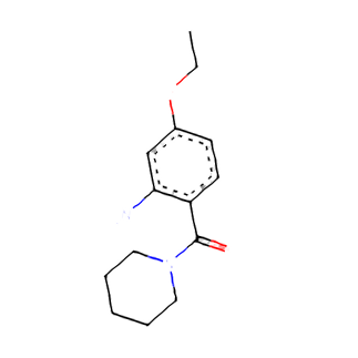 CCOc1ccc(C(=O)N2CCCCC2)c(N)c1